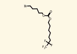 O=C(OCCCCCBr)OCCCCCCC(F)(F)C(F)(F)F